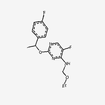 CCOCNc1nc(OC(C)c2ccc(F)cc2)ncc1F